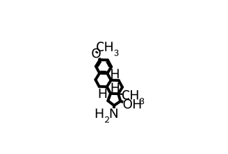 COc1ccc2c(c1)CC[C@@H]1[C@@H]2CC[C@]2(C)C(O)C(N)C[C@@H]12